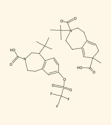 CC(C)(C)C1CN(C(=O)O)CCc2cc(OS(=O)(=O)C(F)(F)F)ccc21.CC1(C(=O)O)C=C2CC[N+](C(=O)[O-])(C(C)(C)C)CCC2=CC1